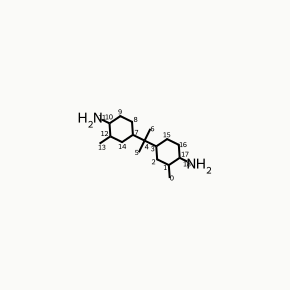 CC1CC(C(C)(C)C2CCC(N)C(C)C2)CCC1N